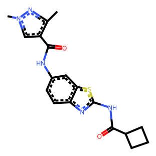 Cc1nn(C)cc1C(=O)Nc1ccc2nc(NC(=O)C3CCC3)sc2c1